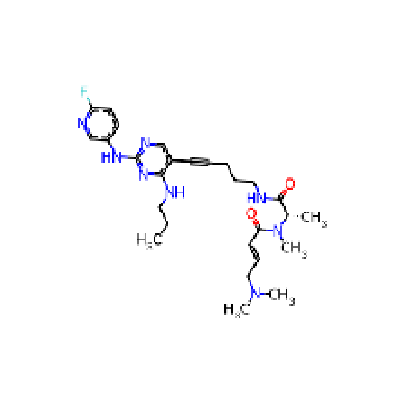 CCCNc1nc(Nc2ccc(F)nc2)ncc1C#CCCCNC(=O)[C@H](C)N(C)C(=O)/C=C/CN(C)C